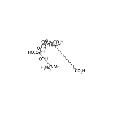 CN[C@@H](CCCCNC(=O)CC[C@H](NC(=O)CC[C@H](NC(=O)CC[C@H](NC(=O)CCCCCCCCCCCCCCCCC(=O)O)C(=O)O)C(=O)O)C(=O)O)C(N)=O